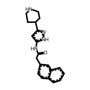 O=C(Cc1ccc2ccccc2c1)Nc1cc(C2CCNCC2)n[nH]1